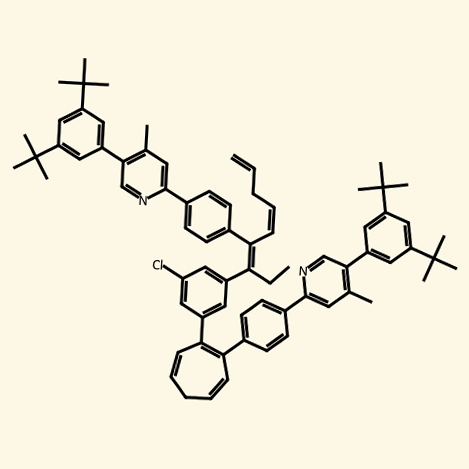 C=CC/C=C\C(=C(/CC)c1cc(Cl)cc(C2=C(c3ccc(-c4cc(C)c(-c5cc(C(C)(C)C)cc(C(C)(C)C)c5)cn4)cc3)C=CCC=C2)c1)c1ccc(-c2cc(C)c(-c3cc(C(C)(C)C)cc(C(C)(C)C)c3)cn2)cc1